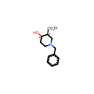 CCOC(=O)[C@H]1CN(Cc2ccccc2)CC[C@H]1O